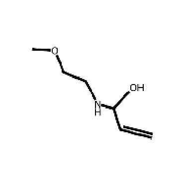 C=CC(O)NCCOC